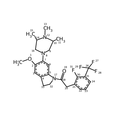 COc1cc2c(cc1N1CC(C)N(C)C(C)C1)N(C(=O)Cc1cccc(C(F)(F)F)c1F)CC2